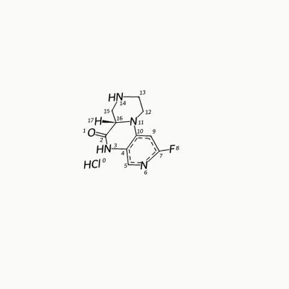 Cl.O=C1Nc2cnc(F)cc2N2CCNC[C@@H]12